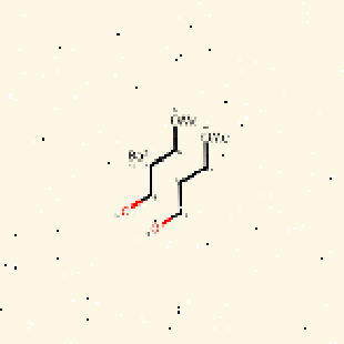 COCCC[O-].COCCC[O-].[Ba+2]